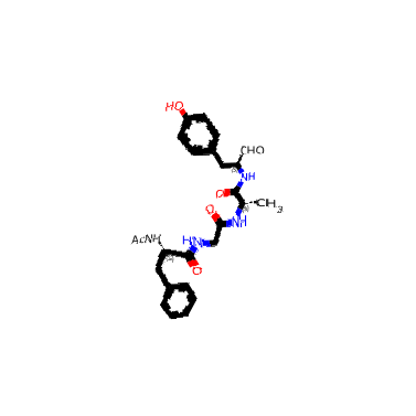 CC(=O)N[C@@H](Cc1ccccc1)C(=O)NCC(=O)N[C@@H](C)C(=O)N[C@H](C=O)Cc1ccc(O)cc1